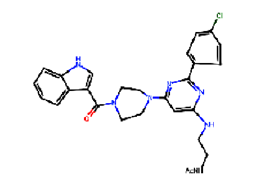 CC(=O)NCCNc1cc(N2CCN(C(=O)c3c[nH]c4ccccc34)CC2)nc(-c2ccc(Cl)cc2)n1